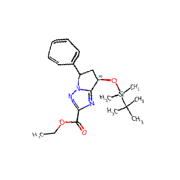 CCOC(=O)c1nc2n(n1)C(c1ccccc1)C[C@H]2O[Si](C)(C)C(C)(C)C